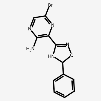 Nc1ncc(Br)nc1C1=NOC(c2ccccc2)N1